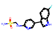 NS(=O)(=O)CNc1ccc(-c2c[nH]c3cc(F)ccc23)cn1